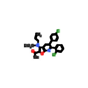 C=CCN(C(=O)OCC)c1c(C(=O)C(C)(C)C)oc2nc(-c3ccccc3Cl)c(-c3ccc(Cl)cc3)cc12